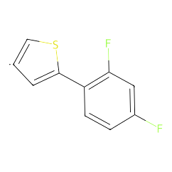 Fc1ccc(-c2c[c]cs2)c(F)c1